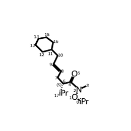 CC(C)ON(C)C(=O)[C@@H](CC=CCC1CCCCC1)C(C)C